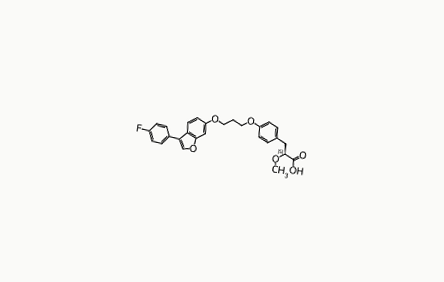 CO[C@@H](Cc1ccc(OCCCOc2ccc3c(-c4ccc(F)cc4)coc3c2)cc1)C(=O)O